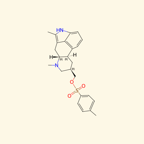 Cc1ccc(S(=O)(=O)OC[C@@H]2C[C@@H]3c4cccc5[nH]c(C)c(c45)C[C@H]3N(C)C2)cc1